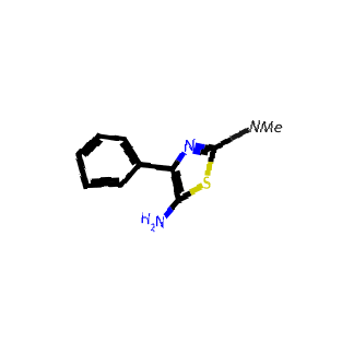 CNc1nc(-c2ccccc2)c(N)s1